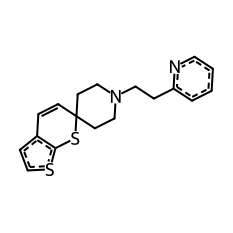 C1=CC2(CCN(CCc3ccccn3)CC2)Sc2sccc21